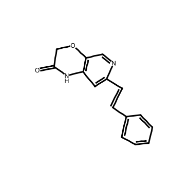 O=C1COc2cnc(C=Cc3ccccc3)cc2N1